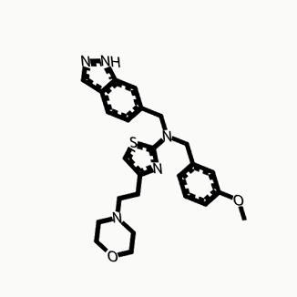 COc1cccc(CN(Cc2ccc3cn[nH]c3c2)c2nc(CCN3CCOCC3)cs2)c1